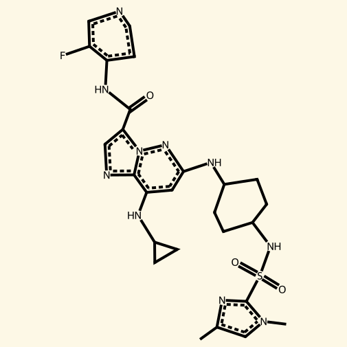 Cc1cn(C)c(S(=O)(=O)NC2CCC(Nc3cc(NC4CC4)c4ncc(C(=O)Nc5ccncc5F)n4n3)CC2)n1